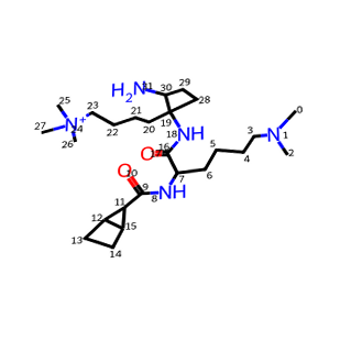 CN(C)CCCCC(NC(=O)C1C2CCC21)C(=O)NC1(CCCC[N+](C)(C)C)CCC1N